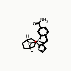 NC(=O)c1ccc2ccn(C3C[C@H]4CC[C@@H](C3)N4Cc3cccs3)c2c1